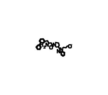 COCCCn1c(C2CCCN(C(=O)CC(N)Cc3cccc(-c4ccccc4)c3)C2)nc2ccccc21